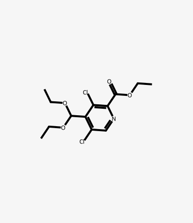 CCOC(=O)c1ncc(Cl)c(C(OCC)OCC)c1Cl